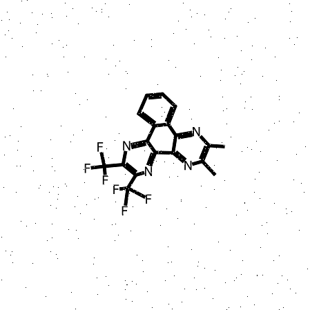 Cc1nc2c3ccccc3c3nc(C(F)(F)F)c(C(F)(F)F)nc3c2nc1C